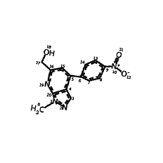 Cn1ncc2c(-c3ccc([N+](=O)[O-])cc3)cc(CO)nc21